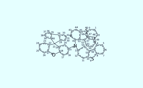 c1ccc(-c2cccc3sc4ccc(N(c5ccc6c(c5)C5(c7ccccc7O6)c6ccccc6-c6ccccc65)c5cccc6sc7ccccc7c56)cc4c23)cc1